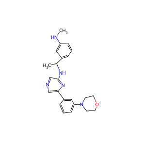 CNc1cccc(C(C)Nc2cncc(-c3cccc(N4CCOCC4)c3)n2)c1